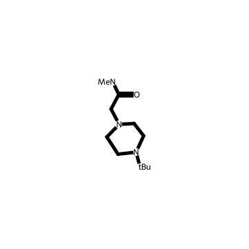 CNC(=O)CN1CCN(C(C)(C)C)CC1